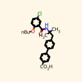 CCCCOc1ccc(Cl)cc1C(=O)NC(C)(C)Cc1ccc(-c2ccc(C(=O)O)cc2)cc1